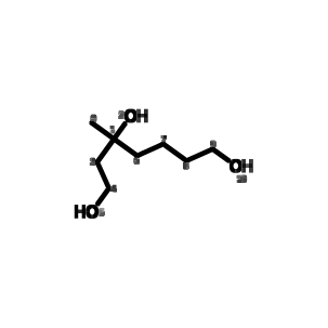 CC(O)(CCO)CCCCO